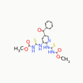 COC(=O)NC(=S)Nc1cc(C(=O)c2ccccc2)cnc1NC(=S)NC(=O)OC